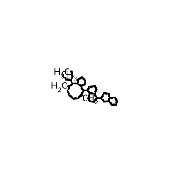 C=c1ccccc(=C)c(-c2cccc3c(-c4ccc5ccccc5c4)cccc23)c2ccccc2c1C(/C=C\C)=C/C